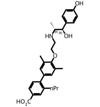 CCCc1cc(C(=O)O)ccc1-c1cc(C)c(OCCN[C@H](C)[C@H](O)c2ccc(O)cc2)c(C)c1